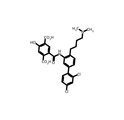 CN(C)CCCCc1ccc(-c2ccc(Cl)cc2Cl)cc1NC(=O)c1cc(C(=O)O)c(O)cc1C(=O)O